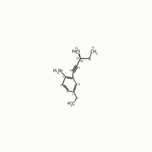 CCc1ccc(N)c(C#C[C@@H](O)CC)c1